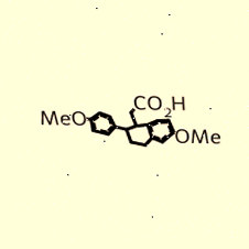 COc1ccc(C2CCc3cc(OC)ccc3C2CC(=O)O)cc1